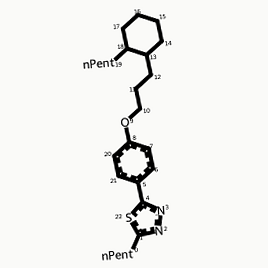 CCCCCc1nnc(-c2ccc(OCCCC3CCCCC3CCCCC)cc2)s1